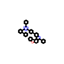 C1=c2c(-c3ccccc3)nc3ccc(-c4ccc(-c5nc(-c6ccccc6)nc(-c6ccccc6-c6ccccc6)n5)cc4)cc3c2=C2c3ccccc3OC2C1